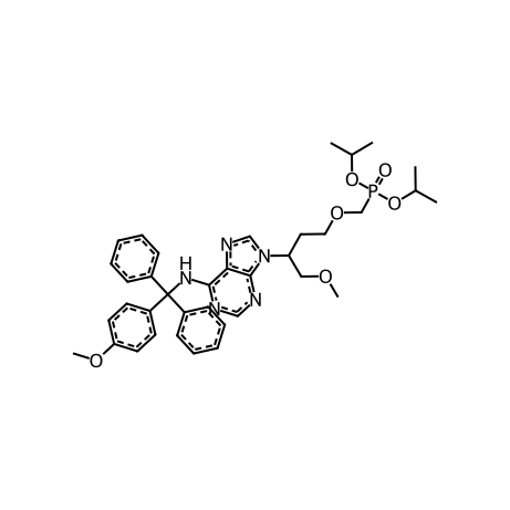 COCC(CCOCP(=O)(OC(C)C)OC(C)C)n1cnc2c(NC(c3ccccc3)(c3ccccc3)c3ccc(OC)cc3)ncnc21